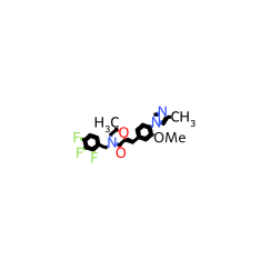 COc1cc(C=C2OC(C)CN(Cc3ccc(F)c(F)c3F)C2=O)ccc1-n1cnc(C)c1